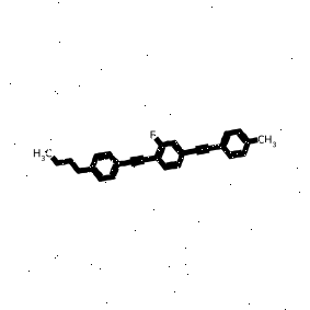 CCCCc1ccc(C#Cc2ccc(C#Cc3ccc(C)cc3)cc2F)cc1